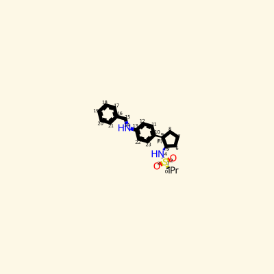 CC(C)S(=O)(=O)N[C@@H]1CCC[C@@H]1c1ccc(NCc2ccccc2)cc1